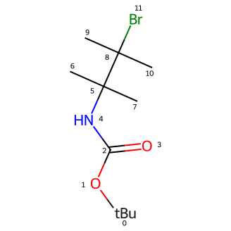 CC(C)(C)OC(=O)NC(C)(C)C(C)(C)Br